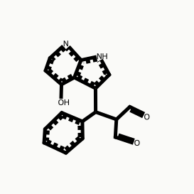 O=CC(C=O)C(c1ccccc1)c1c[nH]c2nccc(O)c12